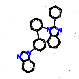 c1ccc(-c2nc3ccccc3n2-c2ccccc2-c2cccc(-n3cnc4ccccc43)c2)cc1